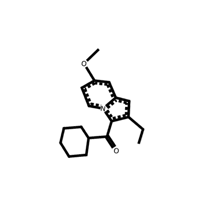 CCc1cc2cc(OC)ccn2c1C(=O)C1CCCCC1